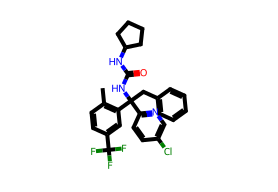 Cc1ccc(C(F)(F)F)cc1C(Cc1ccccc1)(NC(=O)NC1CCCC1)c1ccc(Cl)cn1